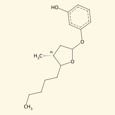 CCCCCC1OC(Oc2cccc(O)c2)C[C@H]1C